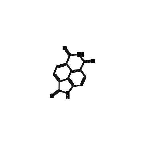 O=C1Nc2ccc3c4c(ccc1c24)C(=O)NC3=O